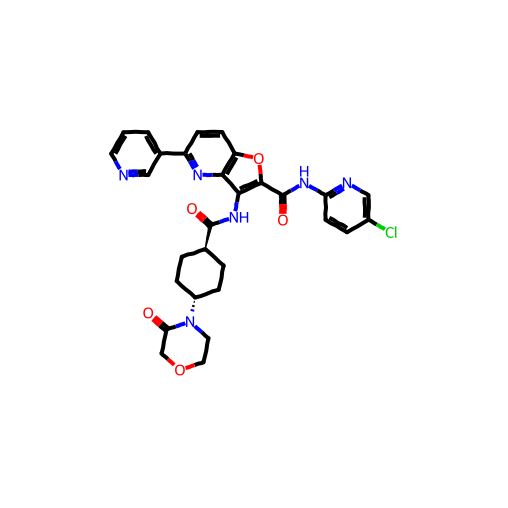 O=C(Nc1ccc(Cl)cn1)c1oc2ccc(-c3cccnc3)nc2c1NC(=O)[C@H]1CC[C@H](N2CCOCC2=O)CC1